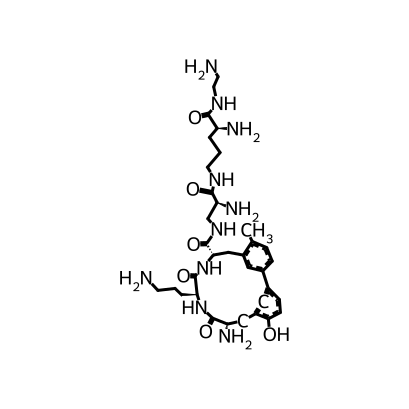 Cc1ccc2cc1C[C@@H](C(=O)NC[C@H](N)C(=O)NCCC[C@H](N)C(=O)NCCN)NC(=O)[C@H](CCCN)NC(=O)[C@@H](N)Cc1cc-2ccc1O